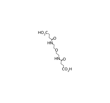 O=C(O)CCC(=O)NCCOCCNC(=O)CCC(=O)O